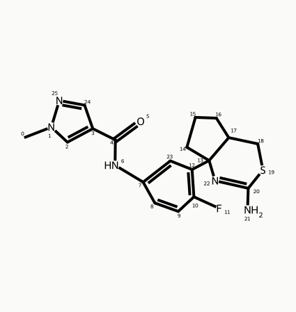 Cn1cc(C(=O)Nc2ccc(F)c(C34CCCC3CSC(N)=N4)c2)cn1